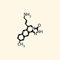 Cc1ccc2cc3c(C=CCN)cn4c(=O)[nH]nc4c3cc2c1